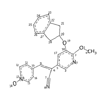 COc1ncc(C(C#N)=Cc2cc[n+]([O-])cc2)cc1OC1Cc2ccccc2C1